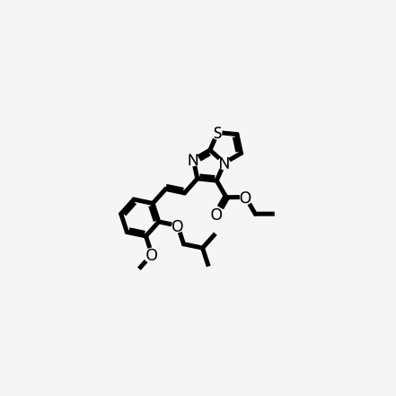 CCOC(=O)c1c(C=Cc2cccc(OC)c2OCC(C)C)nc2sccn12